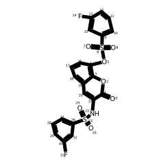 O=c1oc2c(OS(=O)(=O)c3cccc(F)c3)cccc2cc1NS(=O)(=O)c1cccc(F)c1